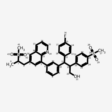 CC(Cc1cc(-c2cccc(C(c3ccc(F)cc3)C(CO)c3ccc(S(C)(=O)=O)cc3)c2)c2ncccc2c1)S(C)(=O)=O